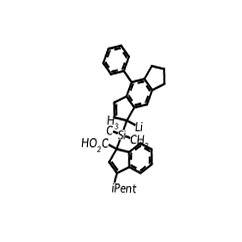 [Li][C]1([Si](C)(C)C2(C(=O)O)C=C(C(C)CCC)c3ccccc32)C=Cc2c1cc1c(c2-c2ccccc2)CCC1